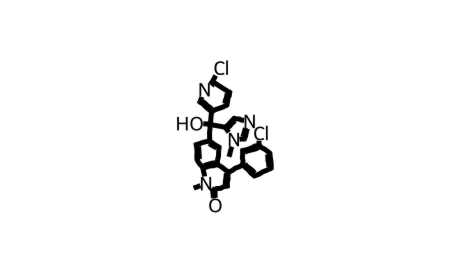 Cn1cncc1C(O)(c1ccc(Cl)nc1)c1ccc2c(c1)c(-c1cccc(Cl)c1)cc(=O)n2C